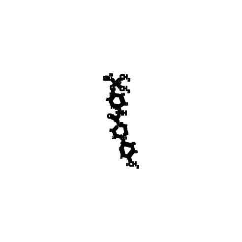 Cc1ccc(N2CCN(C(=O)Nc3ccc(O[Si](C)(C)C(C)(C)C)cn3)CC2)cc1